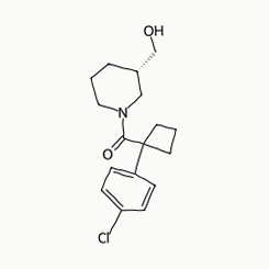 O=C(N1CCC[C@H](CO)C1)C1(c2ccc(Cl)cc2)CCC1